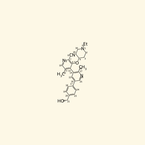 CCN1CCC(Oc2c(C#N)ncc(C)c2-c2cc(-c3ccc(CO)cc3)cnc2C)CC1